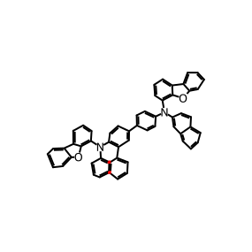 c1ccc(-c2cc(-c3ccc(N(c4ccc5ccccc5c4)c4cccc5c4oc4ccccc45)cc3)ccc2N(c2ccccc2)c2cccc3c2oc2ccccc23)cc1